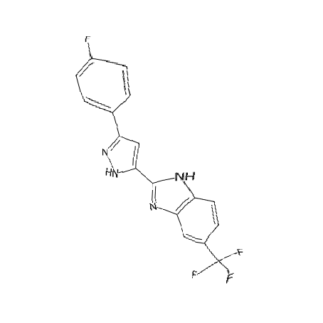 Fc1ccc(-c2cc(-c3nc4cc(C(F)(F)F)ccc4[nH]3)[nH]n2)cc1